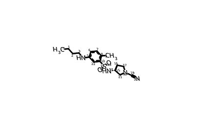 CCCCNc1ccc(C)c(S(=O)(=O)N[C@@H]2CCN(C#N)C2)c1